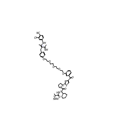 CN[C@@H](C)C(=O)N[C@H](C(=O)N1CCC[C@H]1c1nc(C(=O)c2cccc(OCCOCCOCCOCCOc3ccc(C/C(C(C)=N)=C(\C)Nc4ccc(C#N)c(Cl)c4)cc3)c2)cs1)C1CCCCC1